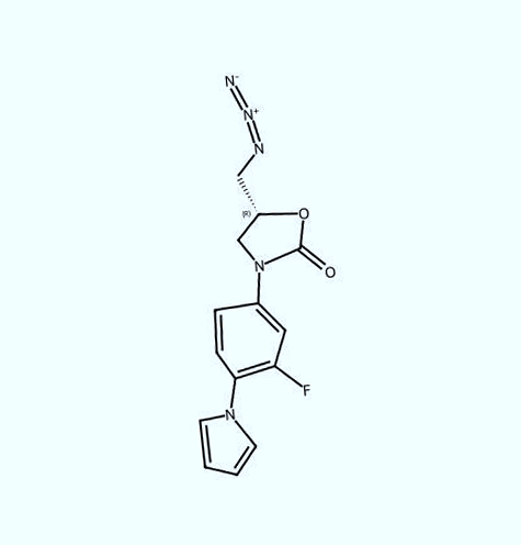 [N-]=[N+]=NC[C@H]1CN(c2ccc(-n3cccc3)c(F)c2)C(=O)O1